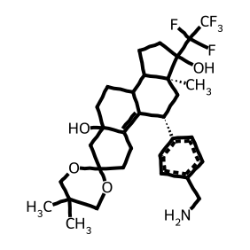 CC1(C)COC2(CCC3=C4C(CCC3(O)C2)C2CCC(O)(C(F)(F)C(F)(F)F)[C@@]2(C)C[C@@H]4c2ccc(CN)cc2)OC1